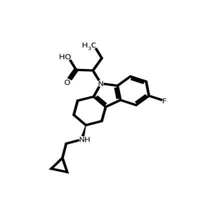 CCC(C(=O)O)n1c2c(c3cc(F)ccc31)C[C@@H](NCC1CC1)CC2